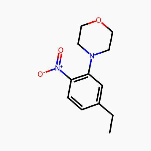 CCc1ccc([N+](=O)[O-])c(N2CCOCC2)c1